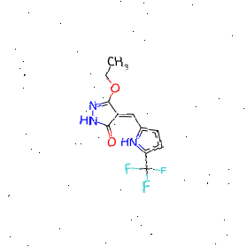 CCOC1=NNC(=O)C1=Cc1ccc(C(F)(F)F)[nH]1